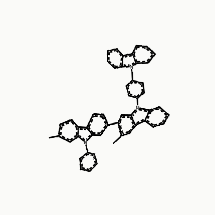 Cc1ccc2c3ccc(-c4cc5c(cc4C)c4ccccc4n5-c4ccc(-n5c6ccccc6c6ccccc65)cc4)cc3n(-c3ccccc3)c2c1